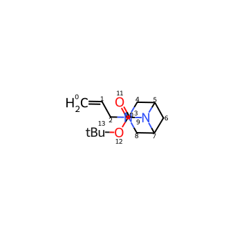 C=CCN1CC2CC(C1)N2C(=O)OC(C)(C)C